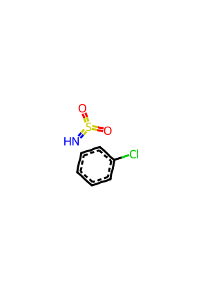 Clc1ccccc1.N=S(=O)=O